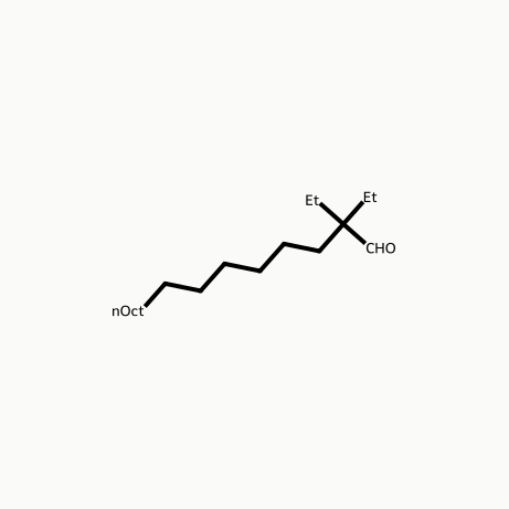 CCCCCCCCCCCCCCC(C=O)(CC)CC